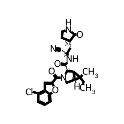 CCC1(C)C2[C@@H](C(=O)N[C@H](C#N)C[C@@H]3CCNC3=O)N(C(=O)c3cc4c(Cl)cccc4o3)C[C@@H]21